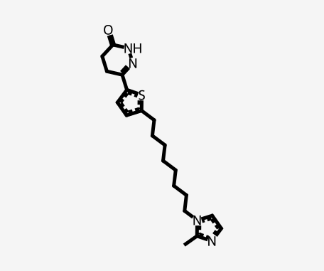 Cc1nccn1CCCCCCCCc1ccc(C2=NNC(=O)CC2)s1